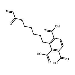 C=CC(=O)OCCCCCc1c(C(=O)O)ccc(C(=O)O)c1C(=O)O